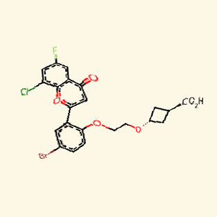 O=c1cc(-c2cc(Br)ccc2OCCO[C@H]2C[C@H](C(=O)O)C2)oc2c(Cl)cc(F)cc12